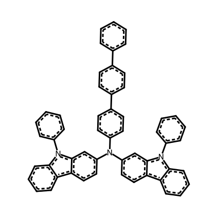 c1ccc(-c2ccc(-c3ccc(N(c4ccc5c6ccccc6n(-c6ccccc6)c5c4)c4ccc5c6ccccc6n(-c6ccccc6)c5c4)cc3)cc2)cc1